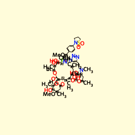 CC[C@H]1OC(=O)[C@H](C)[C@@H](O[C@H]2C[C@@](C)(OC)[C@@H](O)[C@H](C)O2)[C@H](C)[C@@H](O[C@@H]2O[C@H](C)C[C@H](N(C)CCc3cn([C@H](CF)[C@H](OC)c4ccc(N5CCCS5(=O)=O)cc4)nn3)[C@H]2O)[C@](C)(O)C[C@@H](C)CN(C)[C@H](C)[C@@H](O)[C@]1(C)O